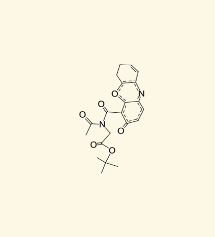 CC(=O)N(CC(=O)OC(C)(C)C)C(=O)c1c2oc3c(nc-2ccc1=O)C=CCC3